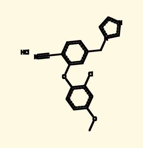 COc1ccc(Oc2cc(Cn3ccnc3)ccc2C#N)c(Cl)c1.Cl